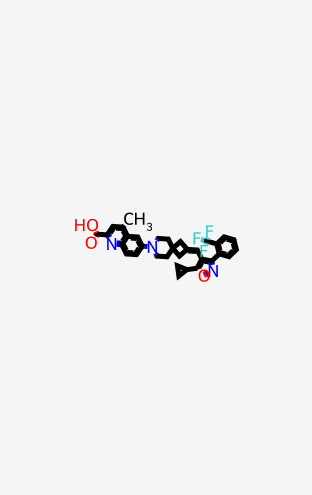 Cc1cc(C(=O)O)nc2ccc(N3CCC4(CC3)CC(=Cc3c(-c5ccccc5C(F)(F)F)noc3C3CC3)C4)cc12